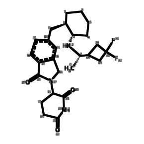 C[C@H](N[C@H]1CCCC[C@@H]1Cc1ccc2c(c1)CN(C1CCC(=O)NC1=O)C2=O)C1CC(F)(F)C1